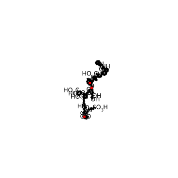 Cc1c(-c2ccc(N3CCc4cccc(C(=O)Nc5nc6ccccc6s5)c4C3)nc2C(=O)O)cnn1CC12CC3(C)CC(C)(C1)CC(OCCN(CC[C@H](O)CO)C(=O)OCc1ccc(CCCCNC(=O)CN4C(=O)[C@@H](N5C(=O)C=CC5=O)C[C@H]4COCCS(=O)(=O)O)cc1O[C@@H]1C[C@H](C(=O)O)[C@@H](O)[C@H](O)[C@H]1O)(C3)C2